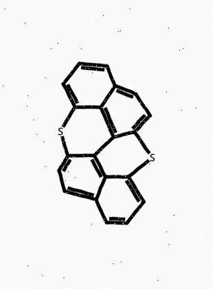 c1cc2ccc3sc4cccc5ccc6sc(c1)c2c3-c6c54